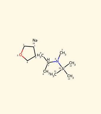 C1CCOC1.CN([SiH](C)C)[Si](C)(C)C.[Na]